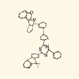 CC1(C)c2ccccc2-c2ccc(-c3nc(-c4ccccc4)nc(-c4ccc(-c5cccc(-c6nc7oc8ccccc8c7c7c6C=CCC7)c5)cc4)n3)cc21